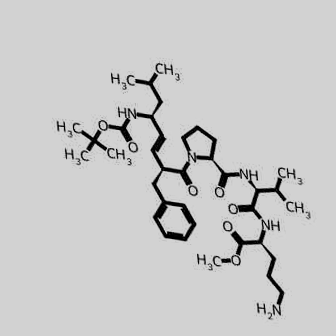 COC(=O)[C@H](CCCN)NC(=O)[C@@H](NC(=O)[C@@H]1CCCN1C(=O)[C@H](/C=C/[C@H](CC(C)C)NC(=O)OC(C)(C)C)Cc1ccccc1)C(C)C